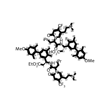 CCOC(=O)C[C@H](NC(=O)C(CC(C)C)n1cc(CCN(C)C)c(C(F)(F)F)cc1=O)c1cc(-c2c(C)cc(OC)cc2C)cc(C)c1F.COc1cc(C)c(-c2cc(C)c(F)c([C@H](CC(=O)O)NC(=O)C(CC(C)C)n3cc(CCN(C)C)c(C(F)(F)F)cc3=O)c2)c(C)c1